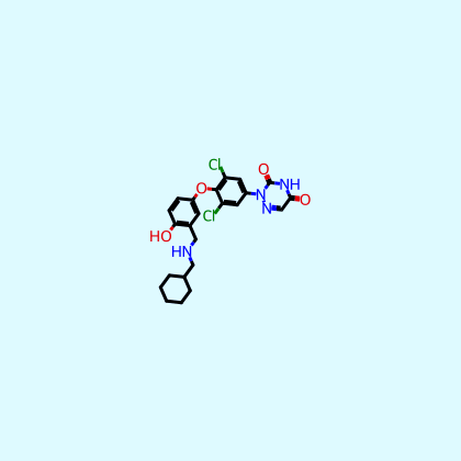 O=c1cnn(-c2cc(Cl)c(Oc3ccc(O)c(CNCC4CCCCC4)c3)c(Cl)c2)c(=O)[nH]1